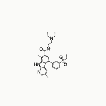 CCN(CC)CC[N]C(=O)c1cc(-c2cccc(S(=O)(=O)CC)c2)c2c([nH]c3ncc(C)cc32)c1C